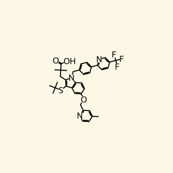 Cc1ccnc(COc2ccc3c(c2)c(SC(C)(C)C)c(CC(C)(C)C(=O)O)n3Cc2ccc(-c3ccc(C(F)(F)F)cn3)cc2)c1